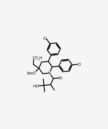 CCC(C(C)C(C)(C)O)N1CC(CC(=O)O)(OC)CC(c2cccc(Cl)c2)C1c1ccc(Cl)cc1